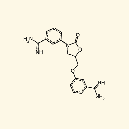 N=C(N)c1cccc(OCC2CN(c3cccc(C(=N)N)c3)C(=O)O2)c1